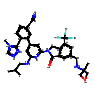 CC(C)CNc1cc(-c2cc(C#N)ccc2-c2nncn2C)cc(N2Cc3c(cc(CNC4(C)COC4)cc3C(F)(F)F)C2=O)n1